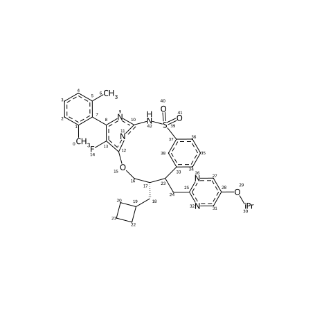 Cc1cccc(C)c1-c1nc2nc(c1F)OC[C@@H](CC1CCC1)C(Cc1ncc(OC(C)C)cn1)c1cccc(c1)S(=O)(=O)N2